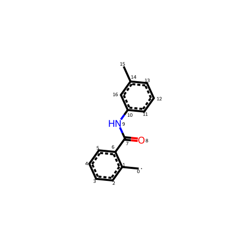 [CH2]c1ccccc1C(=O)Nc1cccc(C)c1